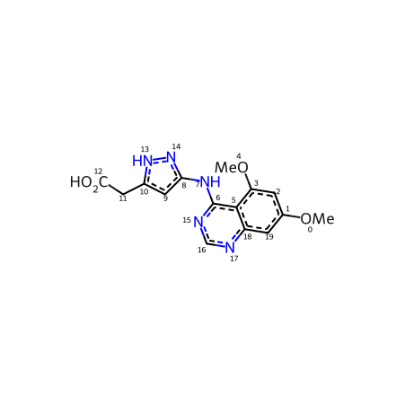 COc1cc(OC)c2c(Nc3cc(CC(=O)O)[nH]n3)ncnc2c1